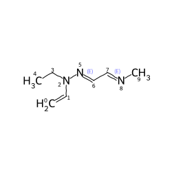 C=CN(CC)/N=C/C=N/C